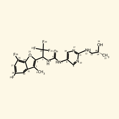 Cc1c(C(NC(=O)Nc2cnc(NC[C@@H](C)O)nc2)C(F)(F)F)oc2c(F)cc(F)cc12